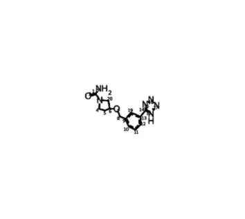 NC(=O)N1CCC(OCc2cccc(-c3nnn[nH]3)c2)C1